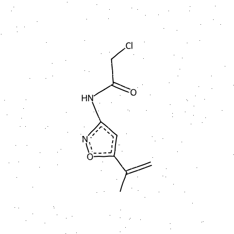 C=C(C)c1cc(NC(=O)CCl)no1